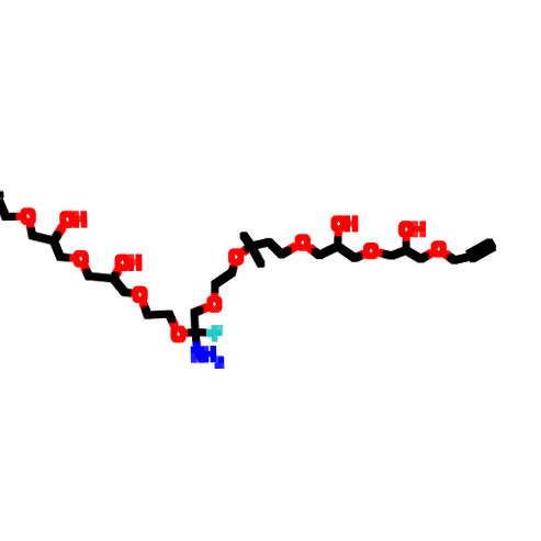 C#CCOCC(O)COCC(O)COCCOC(N)(F)COCCOC(C)(C)CCOCC(O)COCC(O)COCC#C